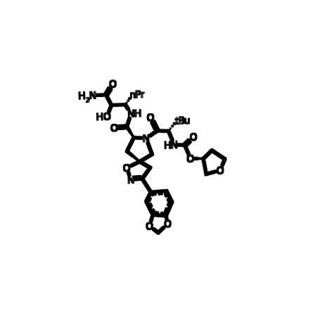 CCC[C@H](NC(=O)[C@@H]1C[C@]2(CC(c3ccc4c(c3)OCO4)=NO2)CN1C(=O)[C@@H](NC(=O)O[C@H]1CCOC1)C(C)(C)C)C(O)C(N)=O